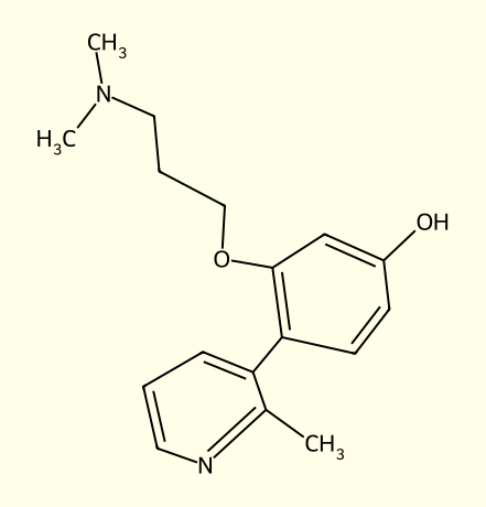 Cc1ncccc1-c1ccc(O)cc1OCCCN(C)C